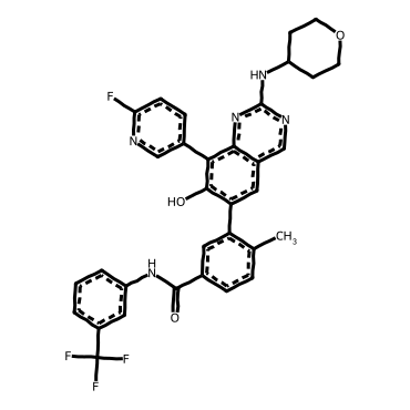 Cc1ccc(C(=O)Nc2cccc(C(F)(F)F)c2)cc1-c1cc2cnc(NC3CCOCC3)nc2c(-c2ccc(F)nc2)c1O